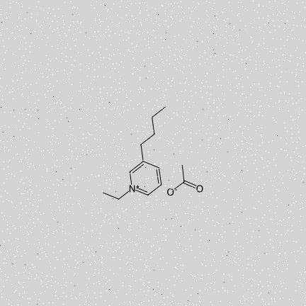 CC(=O)[O-].CCCCc1ccc[n+](CC)c1